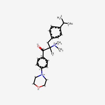 CCC(Cc1ccc(C(C)OC(C)=O)cc1)(C(=O)c1ccc(N2CCOCC2)cc1)N(C)C